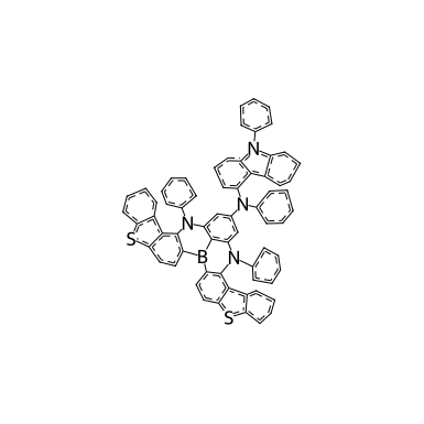 c1ccc(N2c3cc(N(c4ccccc4)c4cccc5c4c4ccccc4n5-c4ccccc4)cc4c3B(c3ccc5sc6ccccc6c5c32)c2ccc3sc5ccccc5c3c2N4c2ccccc2)cc1